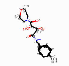 C[C@@H]1CN(C(=O)[C@H](O)[C@@H](O)C(=O)NCc2ccc(C(F)(F)F)cc2)C[C@H](C)O1